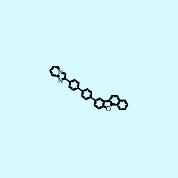 c1ccc2c(c1)ccc1c3cc(-c4ccc(-c5ccc(-c6cn7ccccc7n6)cc5)cc4)ccc3oc21